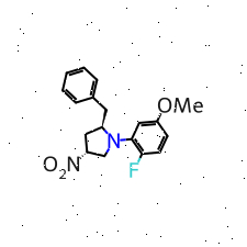 COc1ccc(F)c(N2C[C@H]([N+](=O)[O-])C[C@H]2Cc2ccccc2)c1